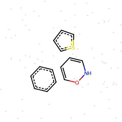 C1=CNOC=C1.c1ccccc1.c1ccsc1